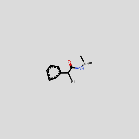 CCC(C(=O)N[SiH](C)C)c1ccccc1